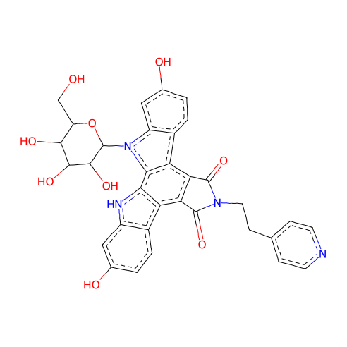 O=C1c2c(c3c4ccc(O)cc4n(C4OC(CO)C(O)C(O)C4O)c3c3[nH]c4cc(O)ccc4c23)C(=O)N1CCc1ccncc1